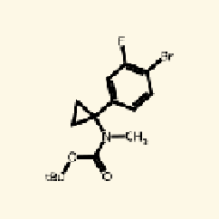 CN(C(=O)OC(C)(C)C)C1(c2ccc(Br)c(F)c2)CC1